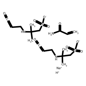 C=CC(N)=O.CC(C)(CS(=O)(=O)[O-])NCC=C=O.CC(C)(CS(=O)(=O)[O-])NCC=C=O.[H+].[Na+]